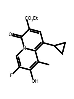 CCOC(=O)c1cc(C2CC2)c2c(C)c(O)c(F)cn2c1=O